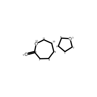 C1CCOC1.O=C1CCCCCO1